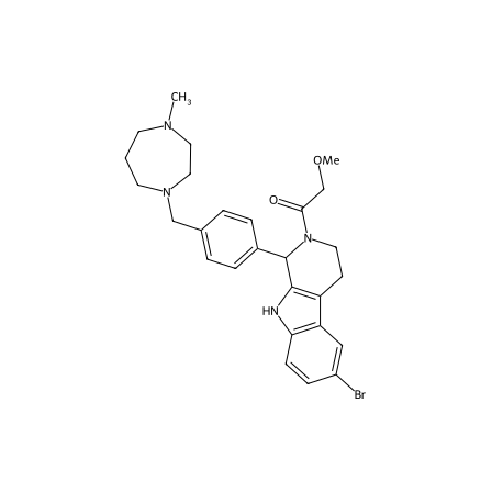 COCC(=O)N1CCc2c([nH]c3ccc(Br)cc23)C1c1ccc(CN2CCCN(C)CC2)cc1